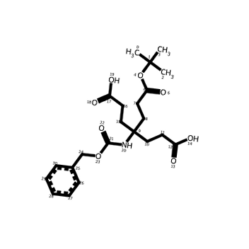 CC(C)(C)OC(=O)CCC(CCC(=O)O)(CCC(=O)O)NC(=O)OCc1ccccc1